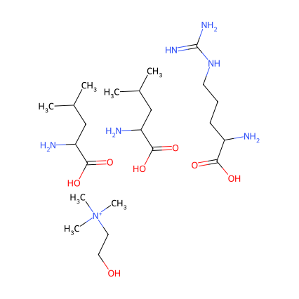 CC(C)CC(N)C(=O)O.CC(C)CC(N)C(=O)O.C[N+](C)(C)CCO.N=C(N)NCCCC(N)C(=O)O